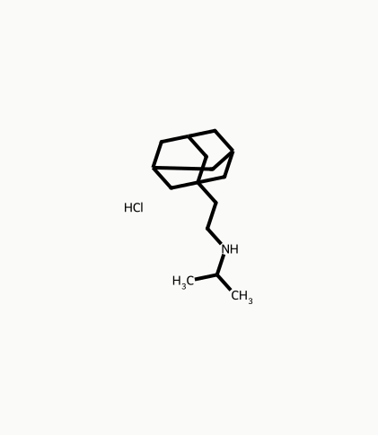 CC(C)NCCC12CC3CC(CC(C3)C1)C2.Cl